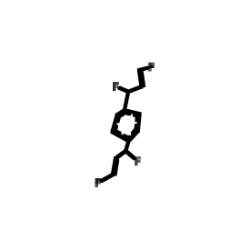 FC=CC(F)c1ccc(C(F)C=CF)cc1